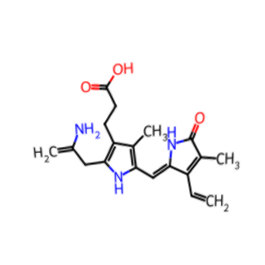 C=CC1=C(C)C(=O)N/C1=C\c1[nH]c(CC(=C)N)c(CCC(=O)O)c1C